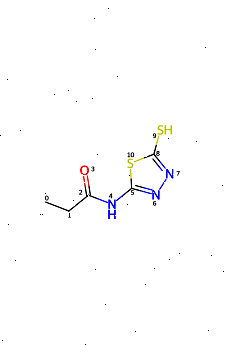 CCC(=O)Nc1nnc(S)s1